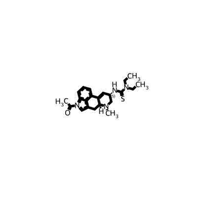 CCN(CC)C(=S)N[C@H]1C=C2c3cccc4c3c(cn4C(C)=O)C[C@H]2N(C)C1